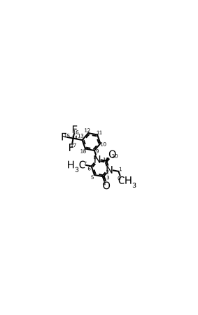 CCn1c(=O)cc(C)n(-c2cccc(C(F)(F)F)c2)c1=O